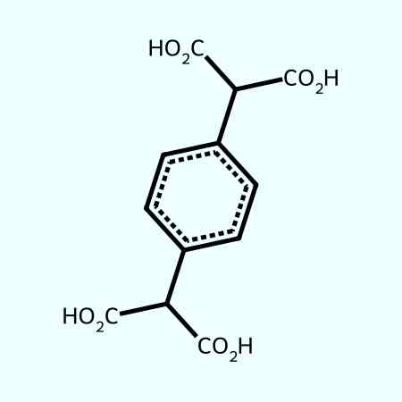 O=C(O)C(C(=O)O)c1ccc(C(C(=O)O)C(=O)O)cc1